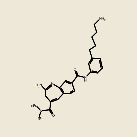 CCCN(CCC)C(=O)C1=Cc2ccc(C(=O)Nc3cccc(CCCCCN)c3)cc2N=C(N)C1